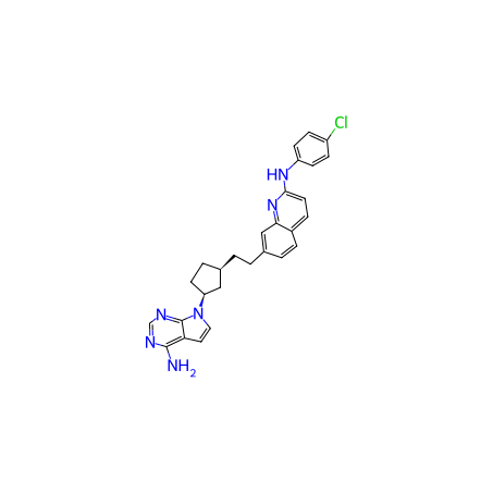 Nc1ncnc2c1ccn2[C@H]1CC[C@@H](CCc2ccc3ccc(Nc4ccc(Cl)cc4)nc3c2)C1